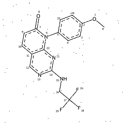 COc1ccc(-n2c(=O)ccc3cnc(NCC(F)(F)F)nc32)cc1